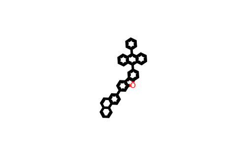 C1=CC2C=Cc3cc(-c4ccc5c(c4)oc4ccc(-c6c7ccccc7c(-c7ccccc7)c7ccccc67)cc45)ccc3C2C=C1